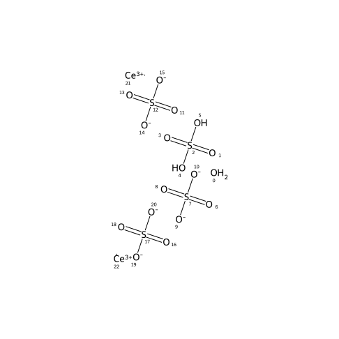 O.O=S(=O)(O)O.O=S(=O)([O-])[O-].O=S(=O)([O-])[O-].O=S(=O)([O-])[O-].[Ce+3].[Ce+3]